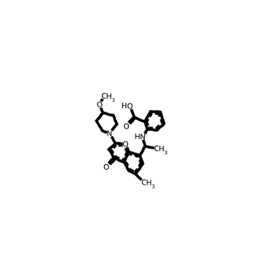 COC1CCN(c2cc(=O)c3cc(C)cc(C(C)Nc4ccccc4C(=O)O)c3o2)CC1